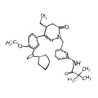 CCC1CC(=O)N(Cc2cccc(NC(=O)C(C)(C)C)c2)N=C1c1ccc(OC)c(OC2CCCC2)c1